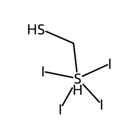 SC[SH](I)(I)(I)I